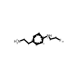 NCCc1ccc(NCCF)cc1